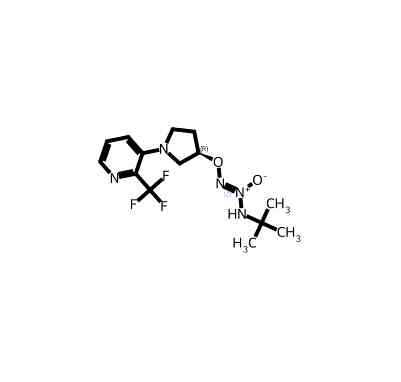 CC(C)(C)N/[N+]([O-])=N/O[C@@H]1CCN(c2cccnc2C(F)(F)F)C1